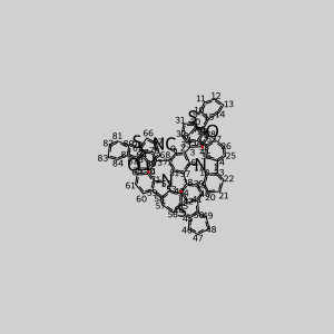 N#Cc1c(-c2ccc3c(c2)sc2ccccc23)c(-n2c3ccccc3c3ccc4oc5ccccc5c4c32)c(-c2ccc3c(c2)sc2ccccc23)c(-n2c3ccccc3c3ccc4oc5ccccc5c4c32)c1-c1ccc2c(c1)sc1ccccc12